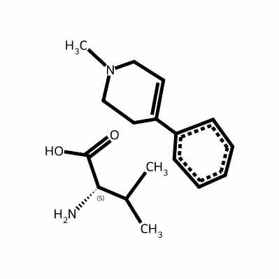 CC(C)[C@H](N)C(=O)O.CN1CC=C(c2ccccc2)CC1